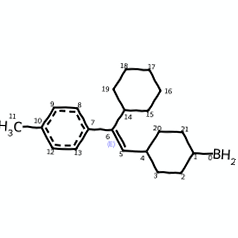 BC1CCC(/C=C(/c2ccc(C)cc2)C2CCCCC2)CC1